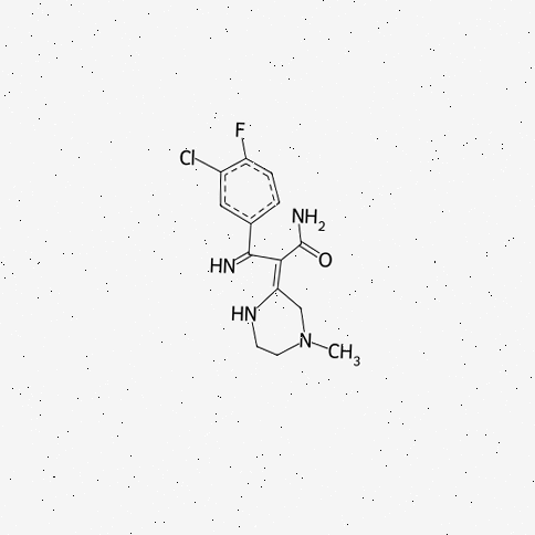 CN1CCN/C(=C(\C(=N)c2ccc(F)c(Cl)c2)C(N)=O)C1